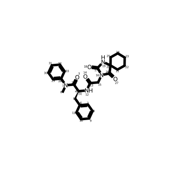 CN(C(=O)[C@H](Cc1ccccc1)NC(=O)CN1C(=O)NC2(CCCCC2)C1=O)c1ccccc1